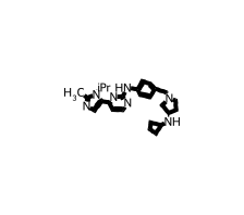 Cc1ncc(-c2ccnc(Nc3ccc(CN4CC[C@H](NC5CCC5)C4)cc3)n2)n1C(C)C